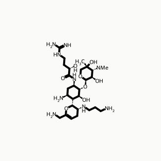 CN[C@@H]1[C@@H](O)[C@@H](O[C@H]2[C@H](NC(=O)[C@@H](O)CCNC(=N)N)C[C@H](N)C([C@H]3OC(CN)=CC[C@H]3NCCCN)[C@@H]2O)OC[C@]1(C)O